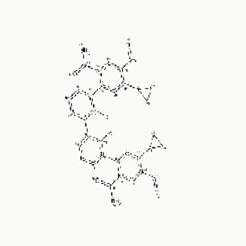 Cc1c(-c2cccc(-c3cc(C4CC4)c(C=O)c[n+]3C(N)=O)c2C)cccc1-c1cc(C2CC2)c(C=O)c[n+]1C(N)=O